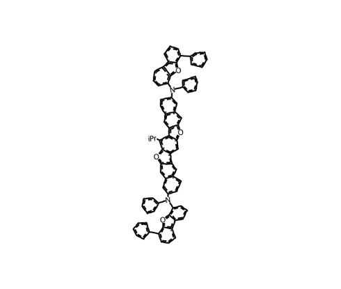 CC(C)c1c2oc3cc4cc(N(c5ccccc5)c5cccc6c5oc5c(-c7ccccc7)cccc56)ccc4cc3c2cc2oc3cc4cc(N(c5ccccc5)c5cccc6c5oc5c(-c7ccccc7)cccc56)ccc4cc3c12